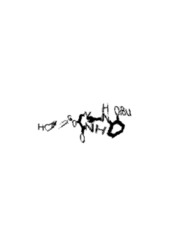 CC(C)COc1ccccc1Nc1ncc(OC(=O)O)c(=O)[nH]1